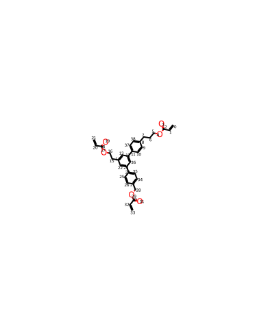 C=CC(=O)OCCCc1ccc(-c2cc(CCOC(=O)C=C)cc(-c3ccc(COC(=O)C=C)cc3)c2)cc1